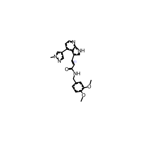 COc1ccc(CNC(=O)/C=C/c2c[nH]c3nccc(-c4cnn(C)c4)c23)cc1OC